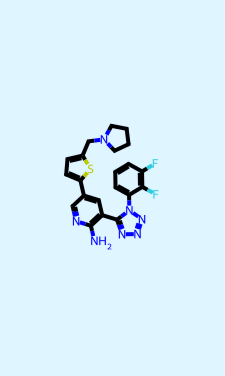 Nc1ncc(-c2ccc(CN3CCCC3)s2)cc1-c1nnnn1-c1cccc(F)c1F